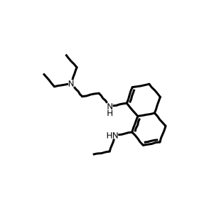 CCNC1=C2C(NCCN(CC)CC)=CCCC2CC=C1